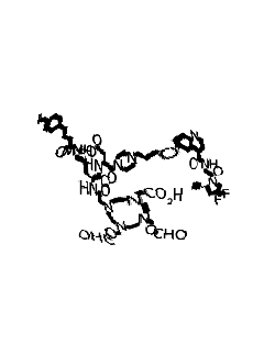 C#C[C@H]1CC(F)(F)CN1C(=O)CNC(=O)c1ccnc2ccc(OCCCN3CCN(C(=O)[C@H](CC(=O)OC)NC(=O)[C@H](CCCNC(=O)CCCc4ccc(I)cc4)NC(=O)CN4CCN(COC=O)CCN(COC=O)CCN(CC(=O)O)CC4)CC3)cc12